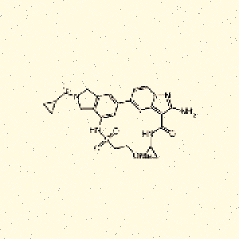 COCCS(=O)(=O)Nc1cc(-c2ccn3nc(N)c(C(=O)NC4CC4)c3n2)cc2c1CN([C@@H](C)C1CC1)C2